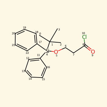 CC(C)(C)[Si](OCCC(=O)Cl)(c1ccccc1)c1ccccc1